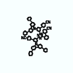 N#Cc1ccc(-c2cc(-c3nc(-c4cc(-c5ccc(C#N)cc5)cc(-n5c6ccc(-c7ccccc7)cc6c6cc(-c7ccccc7)ccc65)c4)nc(-c4ccccc4-c4cccc(C#N)c4)n3)cc(-n3c4ccc(-c5ccccc5)cc4c4cc(-c5ccccc5)ccc43)c2)cc1